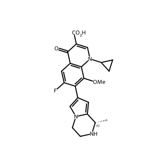 COc1c(-c2cc3n(c2)CCN[C@H]3C)c(F)cc2c(=O)c(C(=O)O)cn(C3CC3)c12